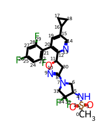 CS(=O)(=O)N[C@@H]1CN(C2=NOC(c3ncc(C4CC4)cc3-c3c(F)cc(F)cc3F)C2)CC1(F)F